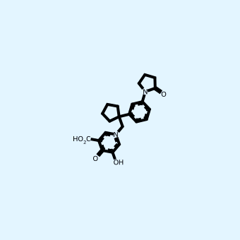 O=C(O)c1cn(CC2(c3cccc(N4CCCC4=O)c3)CCCC2)cc(O)c1=O